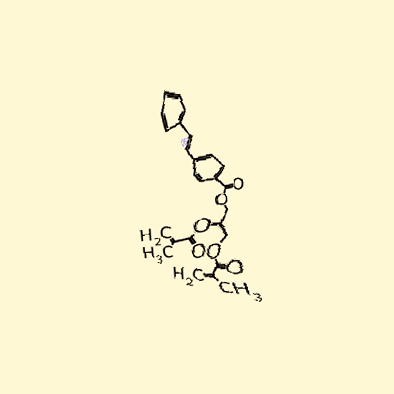 C=C(C)C(=O)OCC(COC(=O)c1ccc(/C=C/c2ccccc2)cc1)OC(=O)C(=C)C